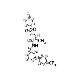 C[C@H](NCS(=O)(=O)c1ccc(F)cc1)C(=O)NCc1cccc(-c2ccc(C(F)(F)F)cc2)c1